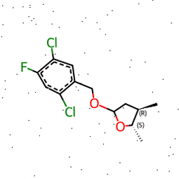 C[C@@H]1CC(OCc2cc(Cl)c(F)cc2Cl)O[C@H]1C